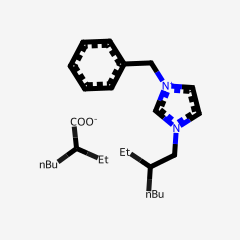 CCCCC(CC)C(=O)[O-].CCCCC(CC)Cn1cc[n+](Cc2ccccc2)c1